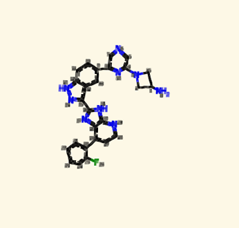 NC1CN(c2cncc(-c3ccc4[nH]nc(-c5nc6c(-c7ccccc7F)ccnc6[nH]5)c4c3)n2)C1